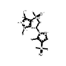 Cc1c(P(C)(C)=O)cnn1CCP(C)(=O)c1cn(C)nc1I